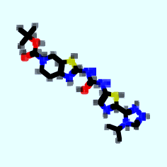 CC(C)n1cnnc1-c1ncc(NC(=O)Nc2nc3c(s2)CN(C(=O)OC(C)(C)C)CC3)s1